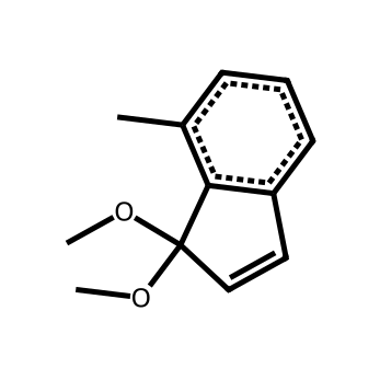 COC1(OC)C=Cc2cccc(C)c21